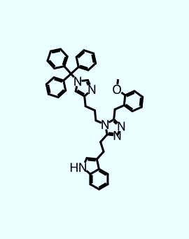 COc1ccccc1Cc1nnc(CCc2c[nH]c3ccccc23)n1CCCc1cn(C(c2ccccc2)(c2ccccc2)c2ccccc2)cn1